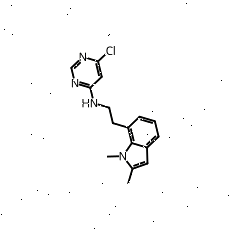 Cc1cc2cccc(CCNc3cc(Cl)ncn3)c2n1C